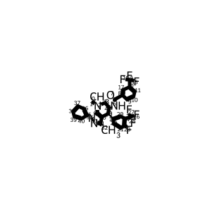 CCN1C[C@@H](NC(=O)c2cccc(C(F)(F)F)c2)[C@@H](c2ccc(F)c(C(F)(F)F)c2)c2c(C)nn(-c3ccccc3)c21